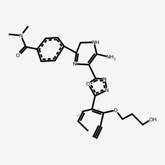 C#C/C(OCCCO)=C(\C=C/C)c1nnc(C2=C(N)NCC(c3ccc(C(=O)N(C)C)cc3)=N2)o1